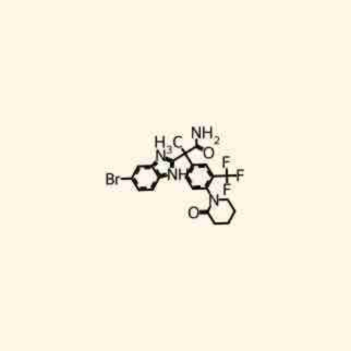 CC(C(N)=O)(c1ccc(N2CCCCC2=O)c(C(F)(F)F)c1)c1nc2cc(Br)ccc2[nH]1